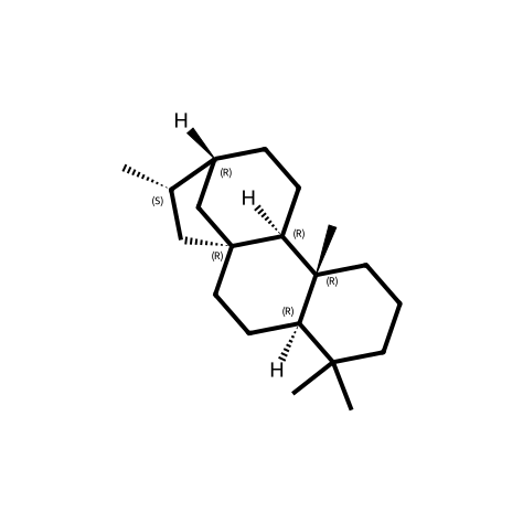 C[C@H]1C[C@@]23CC[C@@H]4C(C)(C)CCC[C@@]4(C)[C@@H]2CC[C@@H]1C3